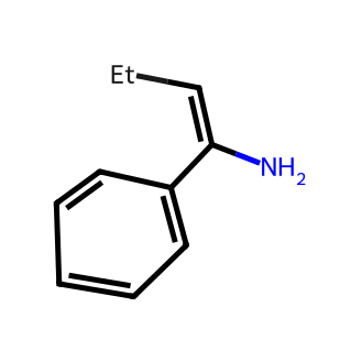 CC/C=C(/N)c1ccccc1